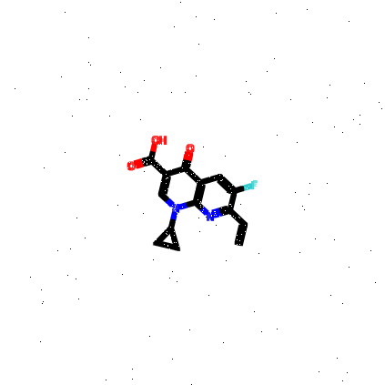 C=Cc1nc2c(cc1F)c(=O)c(C(=O)O)cn2C1CC1